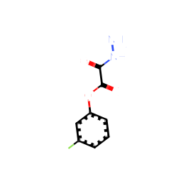 NNC(=O)C(=O)Oc1cccc(F)c1